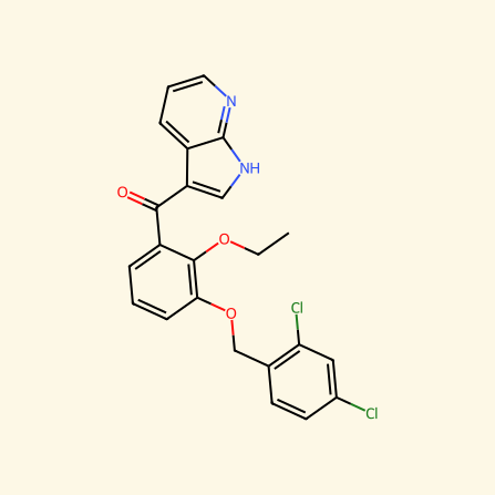 CCOc1c(OCc2ccc(Cl)cc2Cl)cccc1C(=O)c1c[nH]c2ncccc12